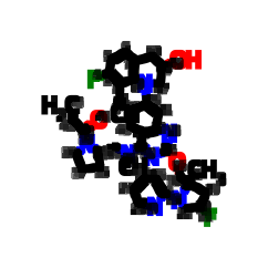 C#Cc1c(F)ccc2c1N(C1=Cc3nc(OC[C@]4(C)C[C@@H](F)CN4c4ccccn4)nc(N(C)C[C@@H]4CCCN4C(=O)C=C)c3CC1)C[C@H](O)C2